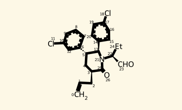 C=CC[C@H]1C[C@H](c2cccc(Cl)c2)[C@@H](c2ccc(Cl)cc2)N([C@H](C=O)CC)C1=O